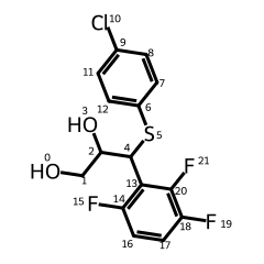 OCC(O)C(Sc1ccc(Cl)cc1)c1c(F)ccc(F)c1F